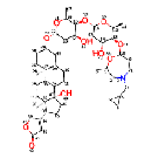 CC1CN(CC2CC2)CCC(O[C@@H]2[C@H](C)O[C@@H](O[C@@H]3[C@H](C)O[C@@H](O[C@H]4CC[C@@]5(C)C(CCC6C5CC[C@]5(C)[C@@H](C7=CC(=O)OC7)CC[C@]65O)C4)C[C@@H]3O)C[C@@H]2O)O1